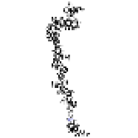 CSc1ncc(/C=C/CCCC(=O)NCC(C)(C)OCC(C)(C)NC(=O)COCC(=O)NCC(=O)Nc2ccc(COC(=O)OC3C(=O)OCc4c3cc3n(c4=O)Cc4c-3nc3ccccc3c4CCN(C(C)C)[S+](C)[O-])cc2)cn1